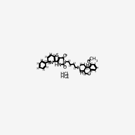 COc1cccc2c1[C@@H]1CCN(CCCCn3c(=O)[nH]c4c(sc5ccc(-c6ccccc6)nc54)c3=O)C[C@H]1CO2.Cl.Cl